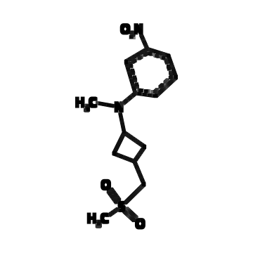 CN(c1cccc([N+](=O)[O-])c1)C1CC(CS(C)(=O)=O)C1